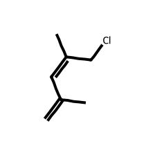 C=C(C)C=C(C)CCl